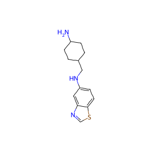 NC1CCC(CNc2ccc3scnc3c2)CC1